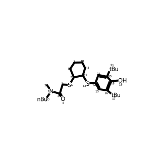 CCCCN(C)C(=O)CSC1CCCCC1Sc1cc(C(C)(C)C)c(O)c(C(C)(C)C)c1